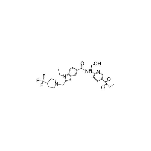 CCn1c(CN2CCC(C(F)(F)F)CC2)cc2cc(C(=O)N[C@@H](CO)c3ccc(S(=O)(=O)CC)cn3)ccc21